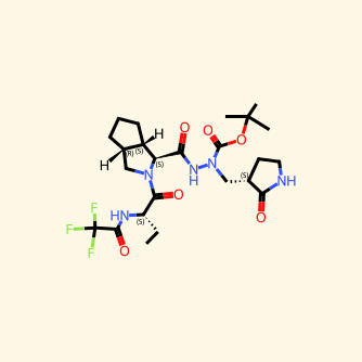 CC[C@H](NC(=O)C(F)(F)F)C(=O)N1C[C@@H]2CCC[C@@H]2[C@H]1C(=O)NN(C[C@@H]1CCNC1=O)C(=O)OC(C)(C)C